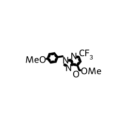 COC(=O)c1cc(C(F)(F)F)nc2c1ncn2Cc1ccc(OC)cc1